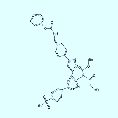 CC(C)S(=O)(=O)c1ccc(-c2cnc(N(C(=O)OC(C)(C)C)C(=O)OC(C)(C)C)c(-c3cc(C4=CCC(=CNC(=O)Oc5ccccc5)C=C4)no3)n2)cc1